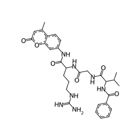 Cc1cc(=O)oc2cc(NC(=O)C(CCCNC(=N)N)NC(=O)CNC(=O)C(NC(=O)c3ccccc3)C(C)C)ccc12